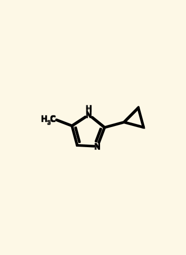 Cc1cnc(C2CC2)[nH]1